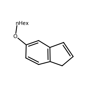 CCCCCCOc1ccc2c(c1)C=CC2